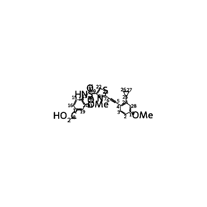 COc1ccc(C#Cc2nc(S(=O)(=O)Nc3ccc(C(=O)O)cc3OC)cs2)c(C2CC2)c1